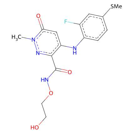 CSc1ccc(Nc2cc(=O)n(C)nc2C(=O)NOCCO)c(F)c1